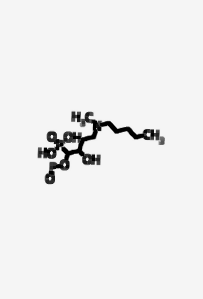 CCCCCN(C)CCC(O)C(OP=O)P(=O)(O)O